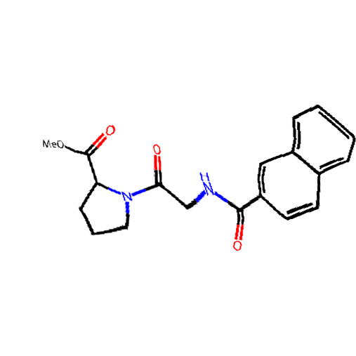 COC(=O)C1CCCN1C(=O)CNC(=O)c1ccc2ccccc2c1